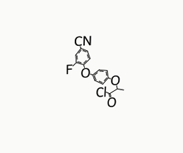 CC(Oc1ccc(Oc2ccc(C#N)cc2F)cc1)C(=O)Cl